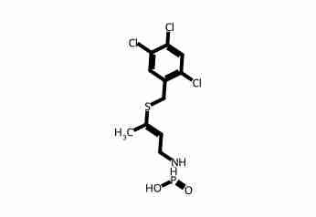 CC(=CCN[PH](=O)O)SCc1cc(Cl)c(Cl)cc1Cl